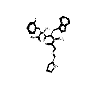 CNC(=O)[C@@H](Cc1ccccc1F)N(C)C(=O)[C@@H](Cc1csc2ccccc12)N(C)C(=O)COC[C@@H]1CCCN1